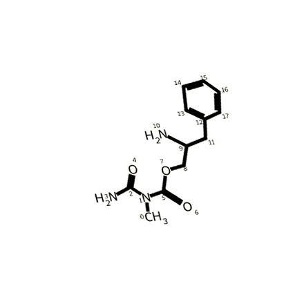 CN(C(N)=O)C(=O)OCC(N)Cc1ccccc1